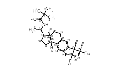 CC(NC(=O)C(C)(C)N)[C@@H]1CC[C@H]2c3ccc(C(F)(C(F)(F)F)C(F)(F)F)cc3CC[C@H]21